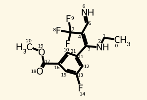 CCN/C(=C(\C=N)C(F)(F)F)c1cc(F)cc(C(=O)OC)c1